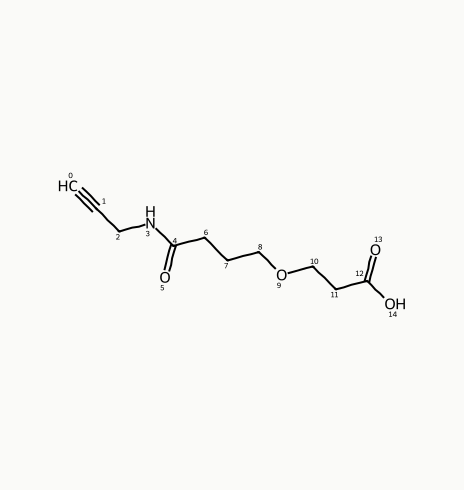 C#CCNC(=O)CCCOCCC(=O)O